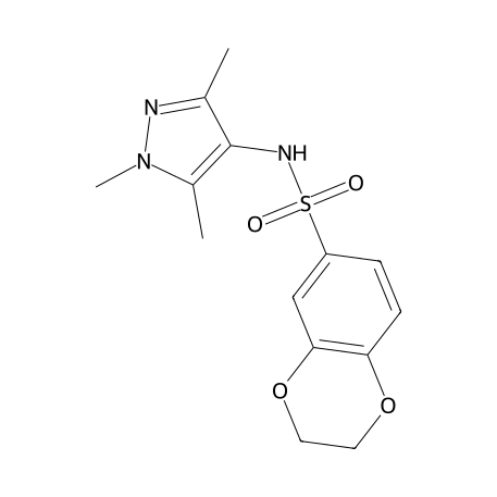 Cc1nn(C)c(C)c1NS(=O)(=O)c1ccc2c(c1)OCCO2